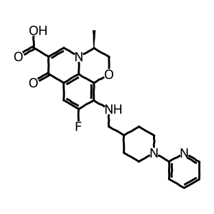 C[C@H]1COc2c(NCC3CCN(c4ccccn4)CC3)c(F)cc3c(=O)c(C(=O)O)cn1c23